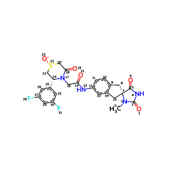 CN1C(=O)NC(=O)[C@@]12Cc1ccc(NC(=O)CN3C(=O)C[S+]([O-])C[C@H]3c3cc(F)cc(F)c3)cc1C2